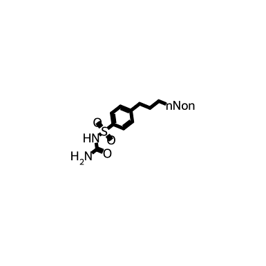 CCCCCCCCCCCCc1ccc(S(=O)(=O)NC(N)=O)cc1